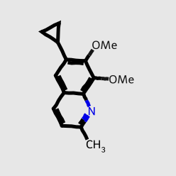 COc1c(C2CC2)cc2ccc(C)nc2c1OC